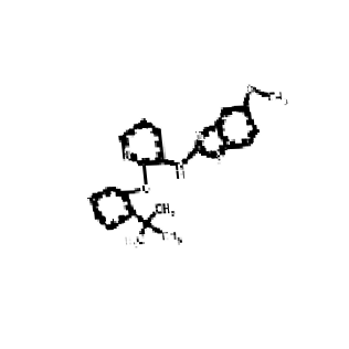 COc1ccc2sc(Nc3cccnc3Oc3ccccc3C(C)(C)C)nc2c1